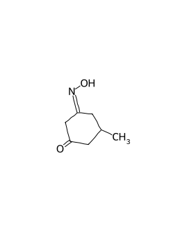 CC1CC(=O)CC(=NO)C1